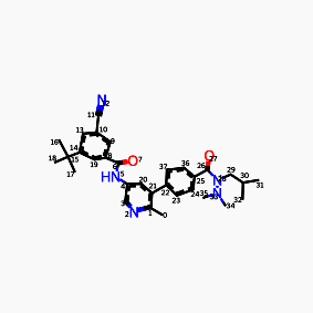 Cc1ncc(NC(=O)c2cc(C#N)cc(C(C)(C)C)c2)cc1-c1ccc(C(=O)N(CC(C)C)N(C)C)cc1